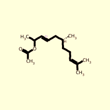 CC(=O)OC(C)/C=C/C[C@H](C)CCC=C(C)C